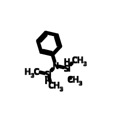 C[SiH](C)N(c1ccccc1)[SiH](C)C